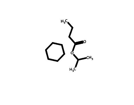 C1CCCCC1.CCCC(=O)OC(C)C